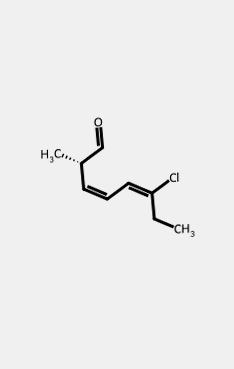 CC/C(Cl)=C\C=C/[C@H](C)C=O